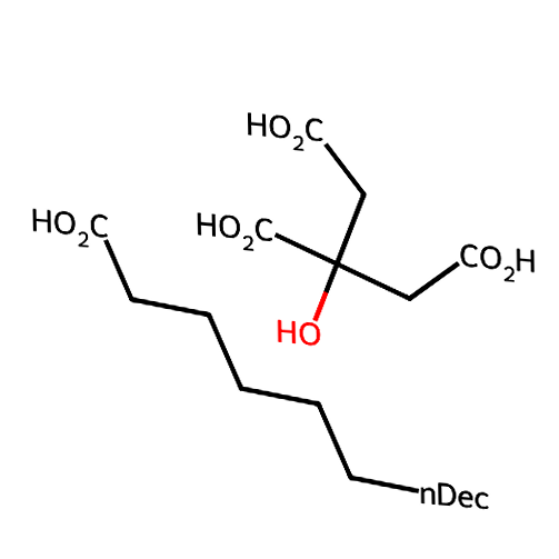 CCCCCCCCCCCCCCCC(=O)O.O=C(O)CC(O)(CC(=O)O)C(=O)O